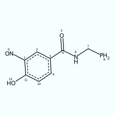 O=Nc1cc(C(=O)NCP)ccc1O